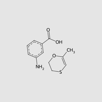 CC1=CSCCO1.Nc1cccc(C(=O)O)c1